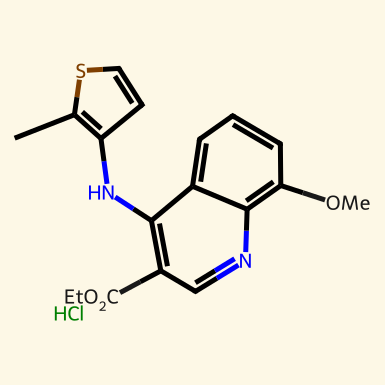 CCOC(=O)c1cnc2c(OC)cccc2c1Nc1ccsc1C.Cl